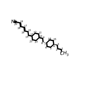 CCCC[C@H]1CC[C@H](CCC2CCC(CCC=CC=CC#N)CC2)CC1